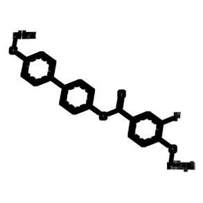 CCCCCCCOc1ccc(C(=O)Oc2ccc(-c3ccc(OCCCCCC)cc3)cc2)cc1F